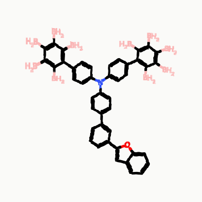 Bc1c(B)c(B)c(-c2ccc(N(c3ccc(-c4cccc(-c5cc6ccccc6o5)c4)cc3)c3ccc(-c4c(B)c(B)c(B)c(B)c4B)cc3)cc2)c(B)c1B